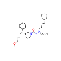 CCOCCCC[C@@H](c1ccccc1)C1CCCN(C(=O)NN(CCCCC2CCCCC2)C(=O)O)C1